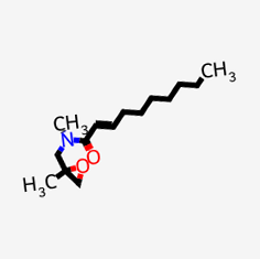 CCCCCCCC=CC(=O)N(C)CC1(C)CO1